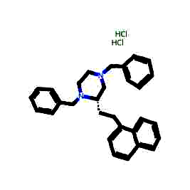 Cl.Cl.c1ccc(CN2CCN(Cc3ccccc3)[C@@H](CCc3cccc4ccccc34)C2)cc1